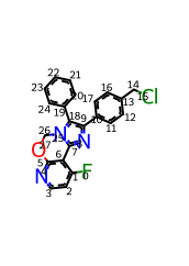 Fc1ccnc2c1-c1nc(-c3ccc(CCl)cc3)c(-c3ccccc3)n1CO2